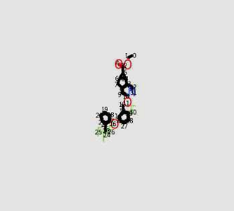 CCOC(=O)C1C2Cc3cc(OCc4cc(Oc5ccccc5C(F)(F)F)ccc4F)ncc3C21